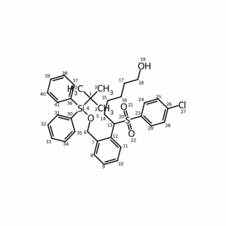 CC(C)(C)[Si](OCc1ccccc1C(CCCCCO)S(=O)(=O)c1ccc(Cl)cc1)(c1ccccc1)c1ccccc1